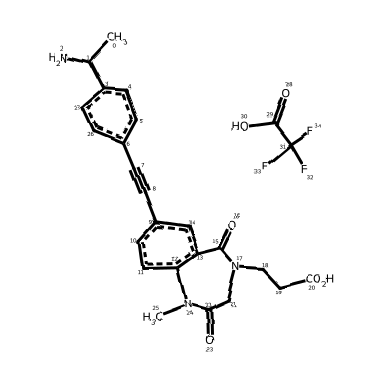 CC(N)c1ccc(C#Cc2ccc3c(c2)C(=O)N(CCC(=O)O)CC(=O)N3C)cc1.O=C(O)C(F)(F)F